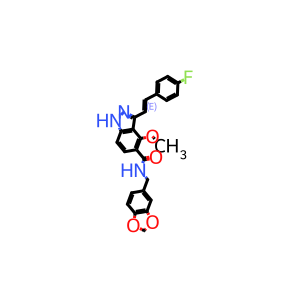 COc1c(C(=O)NCc2ccc3c(c2)OCO3)ccc2[nH]nc(/C=C/c3ccc(F)cc3)c12